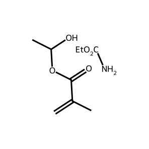 C=C(C)C(=O)OC(C)O.CCOC(N)=O